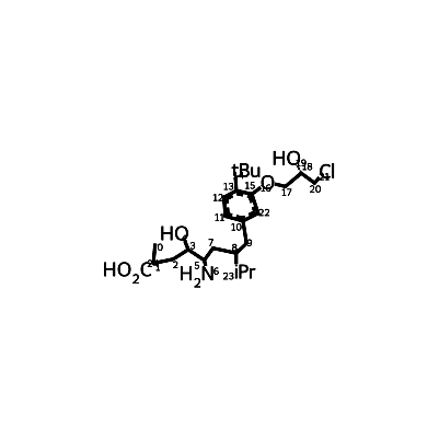 CC(CC(O)C(N)CC(Cc1ccc(C(C)(C)C)c(OC[C@H](O)CCl)c1)C(C)C)C(=O)O